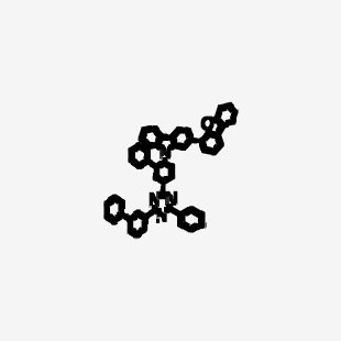 c1ccc(-c2cccc(-c3nc(-c4ccccc4)nc(-c4ccc(-n5c6ccccc6c6ccc(-c7cccc8c7oc7ccccc78)cc65)c(-c5ccccc5)c4)n3)c2)cc1